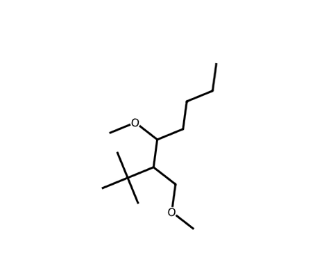 CCCCC(OC)C(COC)C(C)(C)C